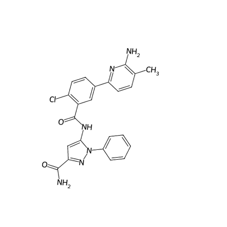 Cc1ccc(-c2ccc(Cl)c(C(=O)Nc3cc(C(N)=O)nn3-c3ccccc3)c2)nc1N